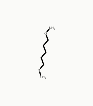 COCCCCCON